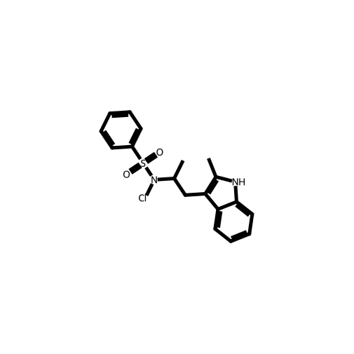 Cc1[nH]c2ccccc2c1CC(C)N(Cl)S(=O)(=O)c1ccccc1